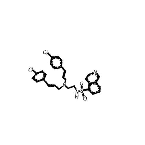 O=S(=O)(NCCN(CC=Cc1ccc(Cl)cc1)CC=Cc1ccc(Cl)cc1)c1cccc2cnccc12